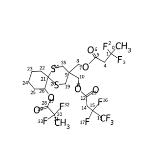 CC(F)(F)CC(=O)OCC1(COC(=O)CC(F)(F)C(F)(F)F)CSC2(CCCCC2OC(=O)C(C)(F)F)SC1